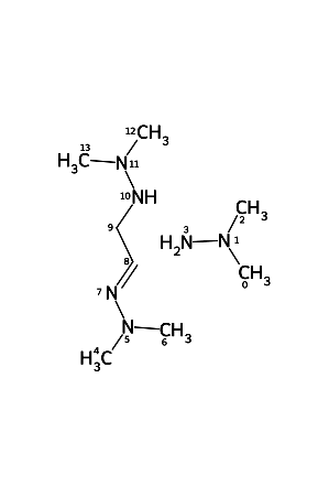 CN(C)N.CN(C)N=CCNN(C)C